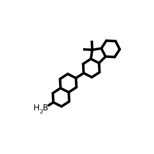 BC1CCC2CC(C3CCC4C5CCCCC5C(C)(C)C4C3)CCC2C1